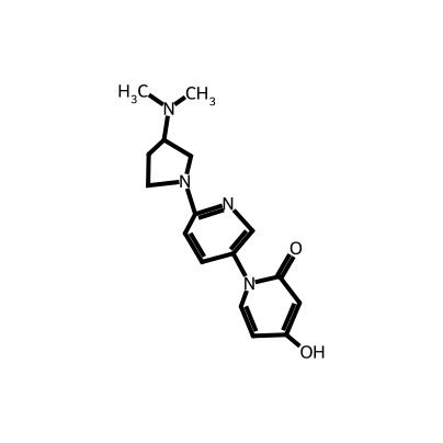 CN(C)C1CCN(c2ccc(-n3ccc(O)cc3=O)cn2)C1